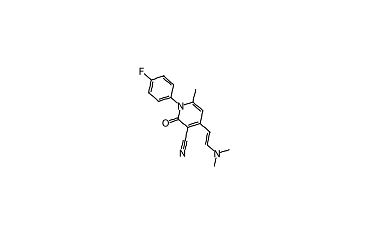 Cc1cc(/C=C/N(C)C)c(C#N)c(=O)n1-c1ccc(F)cc1